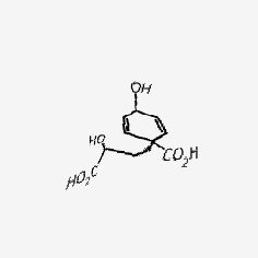 O=C(O)C(O)CC1(C(=O)O)C=CC(O)C=C1